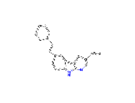 CCCCCc1cnc2[nH]c3ccc(C=Cc4ccccc4)cc3c2c1